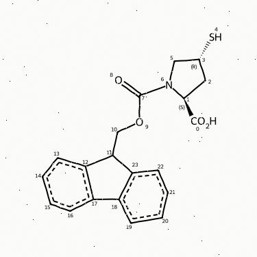 O=C(O)[C@@H]1C[C@@H](S)CN1C(=O)OCC1c2ccccc2-c2ccccc21